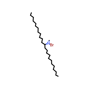 CCCCCCCCCCCCC(CCCCCCCCCCCC)N(C)Br